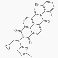 CCc1cccc(C)c1N1C(=O)c2ccc3c4c(ccc(c24)C1=O)C(=O)N(N(CC1CO1)c1nc(C)cs1)C3=O